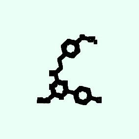 COc1nc(NCCc2ccc(OC(F)(F)F)cc2)nc(-c2ccc(Cl)cc2)n1